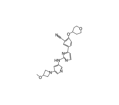 COC1CN(c2cncc(Nc3nccc(-c4ccc(OC5CCOCC5)c(C#N)c4)n3)c2)C1